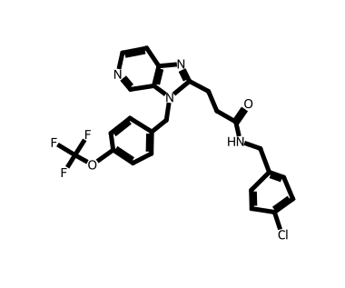 O=C(CCc1nc2ccncc2n1Cc1ccc(OC(F)(F)F)cc1)NCc1ccc(Cl)cc1